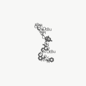 Cc1c(-c2ccc(N3CCc4cccc(C(=O)Nc5nc6ccccc6s5)c4C3)nc2C(=O)OC(C)(C)C)cnn1CC12CC3(C)CC(C)(C1)CC(OCCNC[C@H](CC(=O)OC(C)(C)C)NC(=O)OC(C)(C)C)(C3)C2